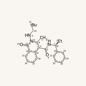 CC[C@H](NC(=O)c1c(C)n(NCC(C)(C)C)c(=O)c2ccccc12)c1ccccc1